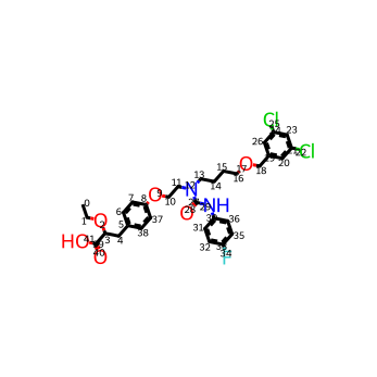 CCOC(Cc1ccc(OCCN(CCCCOCc2cc(Cl)cc(Cl)c2)C(=O)Nc2ccc(F)cc2)cc1)C(=O)O